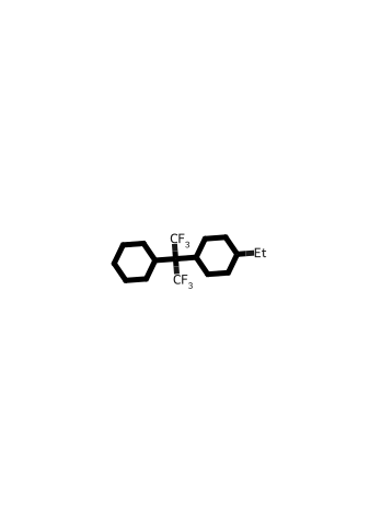 CCC1CCC(C(C2CCCCC2)(C(F)(F)F)C(F)(F)F)CC1